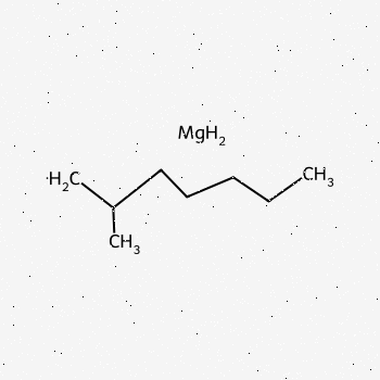 [CH2]C(C)CCCCC.[MgH2]